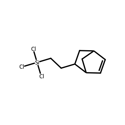 Cl[Si](Cl)(Cl)CCC1CC2C=CC1C2